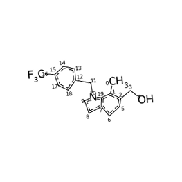 Cc1c(CO)ccc2ccn(Cc3ccc(C(F)(F)F)cc3)c12